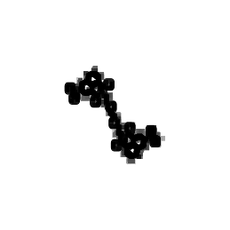 O=C1c2cccc3cc([N+](=O)[O-])cc(c23)C(=O)N1CCOCCOCCN1C(=O)c2cccc3cc([N+](=O)[O-])cc(c23)C1=O